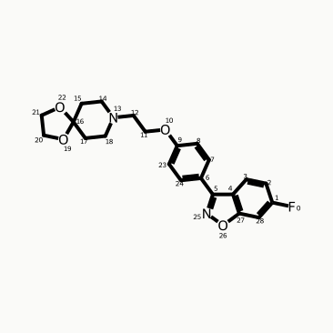 Fc1ccc2c(-c3ccc(OCCN4CCC5(CC4)OCCO5)cc3)noc2c1